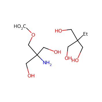 CCC(CO)(CO)CO.NC(CO)(CO)COC(=O)O